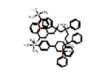 CC(CC(CC(C)(CC(C)(CCC(C)(CC(C)(CC(CCc1ccccc1)c1ccc([Si](C)(C)C)cc1)c1ccccc1)c1ccccc1)c1ccccc1)c1ccccc1)c1ccc([Si](C)(C)C)cc1)c1ccccc1